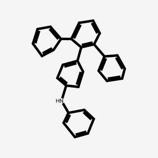 c1ccc(Nc2ccc(-c3c(-c4ccccc4)cccc3-c3ccccc3)cc2)cc1